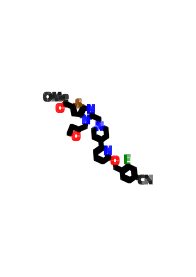 COC(=O)c1cc2c(nc(CN3CC=C(c4cccc(OCc5ccc(C#N)cc5F)n4)CC3)n2CC2CCO2)s1